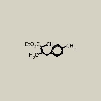 CCOC(=O)C(C)=C(C)Cc1ccc(C)cc1